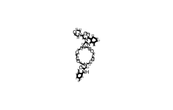 Cc1ccc(C)c(NC(=O)CN2CCOCCOCCN(Cc3nc4c(C)cccc4c(=O)n3CC(=O)N3CCOCC3)CCOCCOCC2)c1